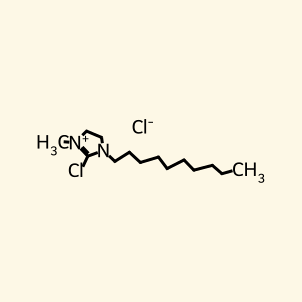 CCCCCCCCCCN1CC[N+](C)=C1Cl.[Cl-]